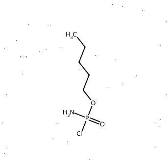 CCCCCOP(N)(=O)Cl